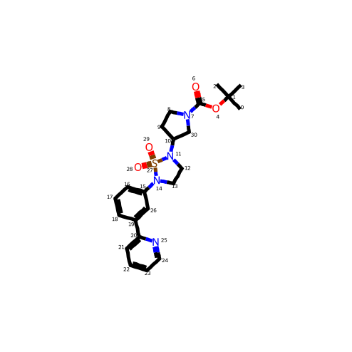 CC(C)(C)OC(=O)N1CCC(N2CCN(c3cccc(-c4ccccn4)c3)S2(=O)=O)C1